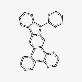 c1cnc(-n2c3ccccc3c3cc4c5ccccc5c5nccnc5c4cc32)nc1